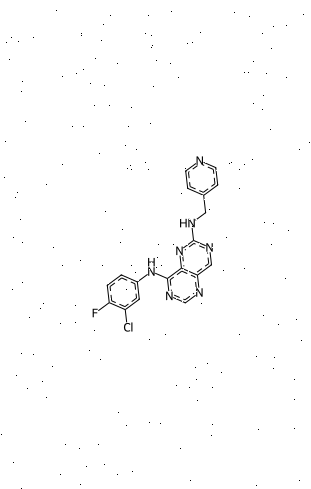 Fc1ccc(Nc2ncnc3cnc(NCc4ccncc4)nc23)cc1Cl